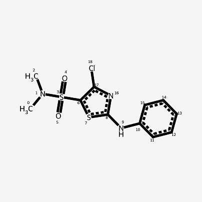 CN(C)S(=O)(=O)c1sc(Nc2ccccc2)nc1Cl